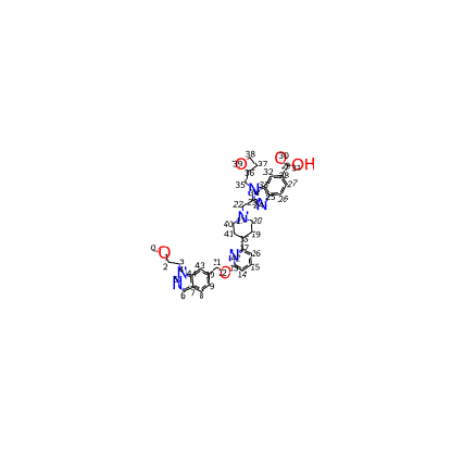 COCCn1ncc2ccc(COc3cccc(C4CCN(Cc5nc6ccc(C(=O)O)cc6n5CC5CCO5)CC4)n3)cc21